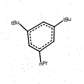 CCCc1cc(C(C)(C)C)cc(C(C)(C)C)c1